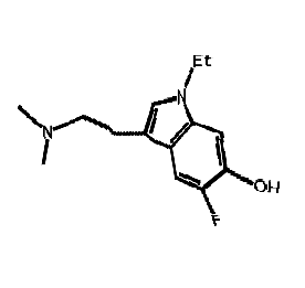 CCn1cc(CCN(C)C)c2cc(F)c(O)cc21